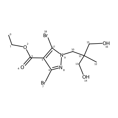 CCOC(=O)c1c(Br)nn(CC(C)(CO)CO)c1Br